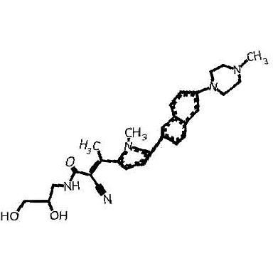 C/C(=C(/C#N)C(=O)NCC(O)CO)c1ccc(-c2ccc3cc(N4CCN(C)CC4)ccc3c2)n1C